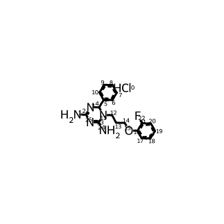 Cl.NC1=NC(c2ccccc2)N(CCCOc2ccccc2F)C(N)=N1